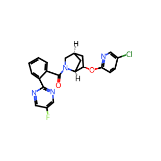 O=C(c1ccccc1-c1ncc(F)cn1)N1C[C@H]2C[C@@H](Oc3ccc(Cl)cn3)[C@@H]1C2